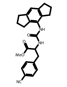 COC(=O)C(Cc1ccc(C#N)cc1)NC(=O)Nc1c2c(cc3c1CCC3)CCC2